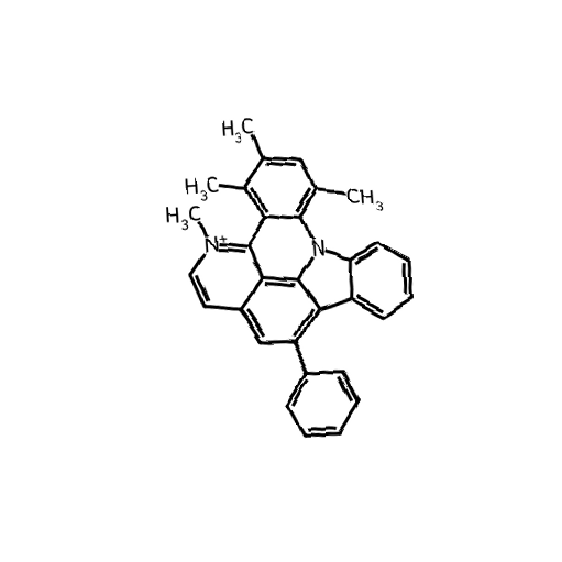 Cc1cc(C)c2c(c1C)c1c3c(cc[n+]1C)cc(-c1ccccc1)c1c4ccccc4n2c13